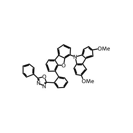 COc1ccc2c(c1)c1cc(OC)ccc1n2-c1cccc2c1oc1c(-c3ccccc3-c3nnc(-c4ccccc4)o3)cccc12